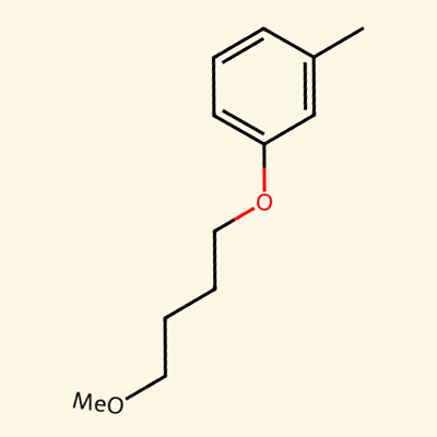 COCCCCOc1cccc(C)c1